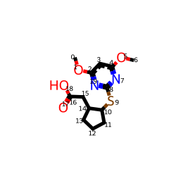 COc1cc(OC)nc(SC2CCCC2CC(=O)O)n1